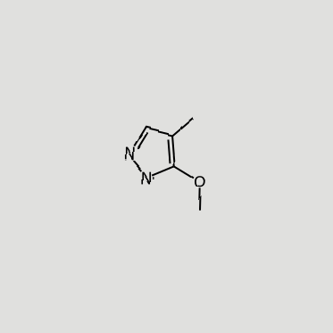 COC1=C(C)C=N[N]1